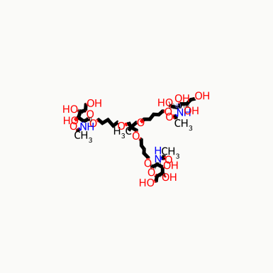 CC(=O)N/C(=C(/O)[C@@H](O)CCO)[C@@H](O)OCCCCCOCC(C)(COCCCCCO[C@@H]1OC(CO)[C@H](O)C(O)C1NC(C)=O)COCCCCCO[C@@H]1OC(CO)[C@H](O)C(O)[C@@H]1NC(C)=O